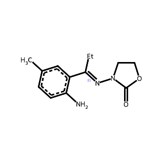 CC/C(=N\N1CCOC1=O)c1cc(C)ccc1N